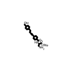 COC(=O)C(CN)NC(=O)c1ccc(C#CC=Cc2ccc(CO)cc2)cc1